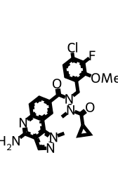 COc1c(CN(C(=O)c2ccc3nc(N)c4cnn(C)c4c3c2)N(C)C(=O)C2CC2)ccc(Cl)c1F